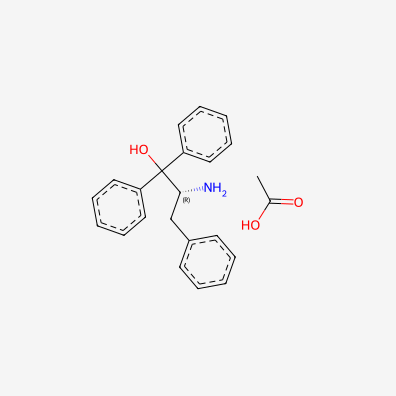 CC(=O)O.N[C@H](Cc1ccccc1)C(O)(c1ccccc1)c1ccccc1